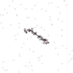 Cc1cc(Cl)cc2c1CN(C)C[C@H]2c1cccc(S(=O)(=O)N2CCC(NC(=O)CCCNC(=O)NCCCCNC(=O)NCCCC(=O)NC3CCN(S(=O)(=O)c4cccc([C@@H]5CN(C)Cc6c(C)cc(Cl)cc65)c4)CC3)CC2)c1